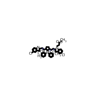 COC(=O)CCN1/C(=C/C=C2\CCC(/C=C/C3=Nc4ccc(Cl)cc4C3(C)C)=C2N(c2ccccc2)c2ccccc2)C(C)(C)c2cc(Cl)ccc21